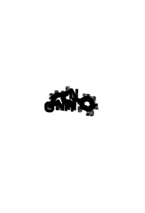 O=c1ccc2cnc(-c3ccccc3)nc2[nH]1